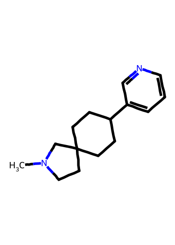 CN1CCC2(CCC(c3cccnc3)CC2)C1